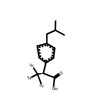 [2H]C([2H])([2H])[C@H](C(=O)O)c1ccc(CC(C)C)cc1